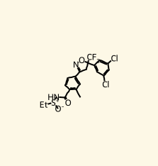 CC[S+]([O-])NC(=O)c1ccc(C2=NOC(c3cc(Cl)cc(Cl)c3)(C(F)(F)F)C2)cc1C